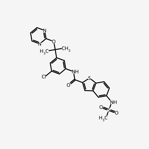 CC(C)(Oc1ncccn1)c1cc(Cl)cc(NC(=O)c2cc3cc(NS(C)(=O)=O)ccc3s2)c1